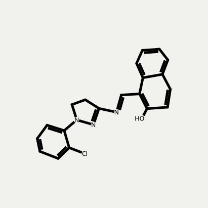 Oc1ccc2ccccc2c1C=NC1=NN(c2ccccc2Cl)CC1